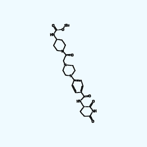 CC(C)(C)OC(=O)NC1CCN(C(=O)CN2CCN(c3ccc(C(=O)NC4CCC(=O)NC4=O)cc3)CC2)CC1